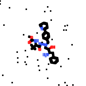 COC(=O)NC(C(=O)NN(Cc1ccc(-c2ccccn2)cc1)C[C@@H](O)[C@@H](N)Cc1ccccc1)C(C)(C)C